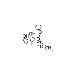 C=CC(=O)OC(C)OCCOc1ccccc1.Oc1ccccc1.Oc1ccccc1